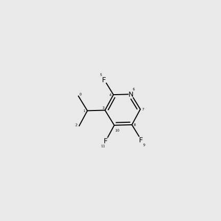 CC(C)c1c(F)ncc(F)c1F